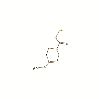 CC(C)(C)OC(=O)N1CC=C(O[SiH3])CC1